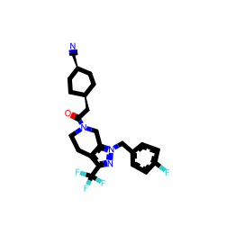 N#C[C@H]1CC[C@@H](CC(=O)N2CCc3c(C(F)(F)F)nn(Cc4ccc(F)cc4)c3C2)CC1